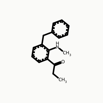 CCC(=O)c1cccc(Cc2ccccc2)c1NC